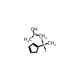 CP(C)O.[CH3][Ir]([I])([I])[C]1=CC=CC1